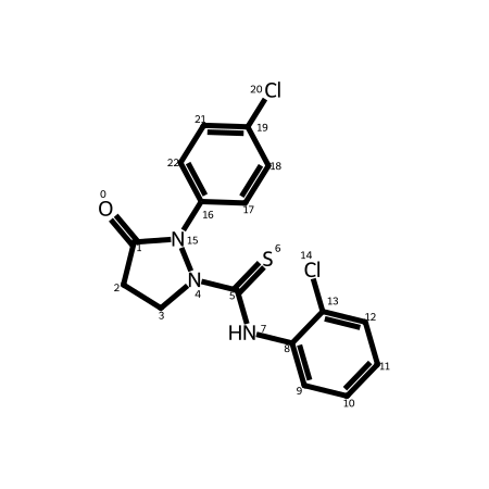 O=C1CCN(C(=S)Nc2ccccc2Cl)N1c1ccc(Cl)cc1